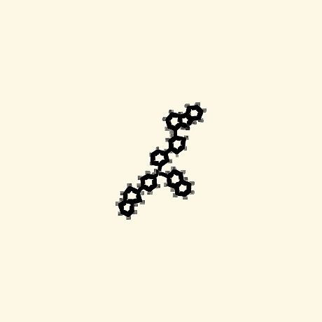 c1cc(-c2cccc(N(c3ccc(-c4ccc5ccccc5c4)cc3)c3ccc4ccccc4c3)c2)cc(-c2cccc3c2sc2ccccc23)c1